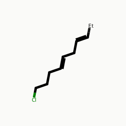 CCC=CCC=CCCCCl